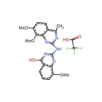 COc1ccc2c(C)nc(Nc3nc(O)c4cccc(OC)c4n3)nc2c1OC.O=C(O)C(F)(F)F